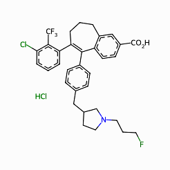 Cl.O=C(O)c1ccc2c(c1)CCCC(c1cccc(Cl)c1C(F)(F)F)=C2c1ccc(CC2CCN(CCCF)C2)cc1